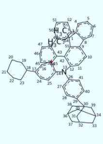 CC1(C)c2ccccc2-c2ccc(N(c3ccc(C4CCCCC4)cc3)c3ccc(C45CC6CC(CC(C6)C4)C5)cc3)c(-c3ccccc3-c3ccccc3)c21